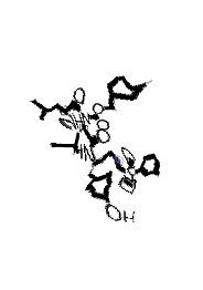 CC(C)C[C@H](N)C(=O)N(C(=O)OCc1ccccc1)[C@@H](CC(C)C)C(=O)N[C@H](/C=C/S(=O)(=O)c1ccccc1)Cc1ccc(O)cc1